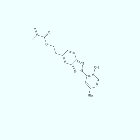 C=C(C)C(=O)OCCc1ccc2nn(-c3cc(C(C)(C)C)ccc3O)nc2c1